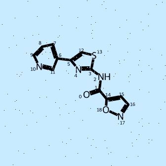 O=C(Nc1nc(-c2cccnc2)cs1)c1ccno1